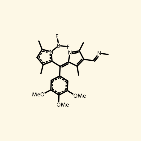 C/N=C/C1=C(C)C(=C(\c2cc(OC)c(OC)c(OC)c2)c2c(C)cc(C)n2B(F)F)/N=C1C